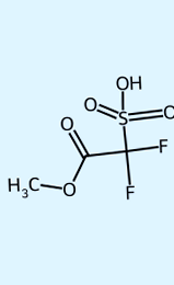 COC(=O)C(F)(F)S(=O)(=O)O